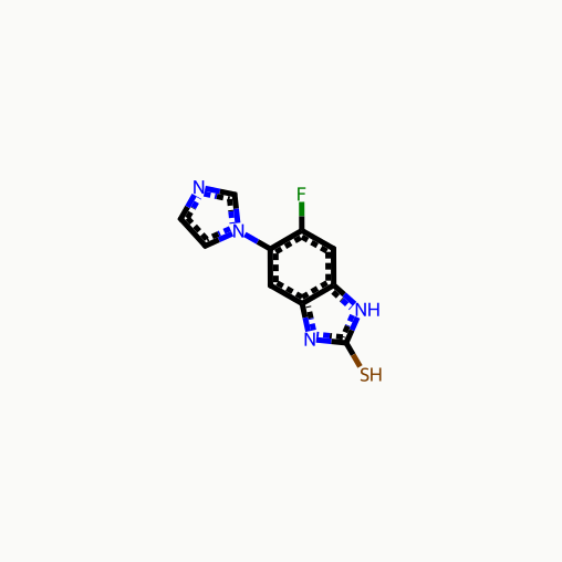 Fc1cc2[nH]c(S)nc2cc1-n1ccnc1